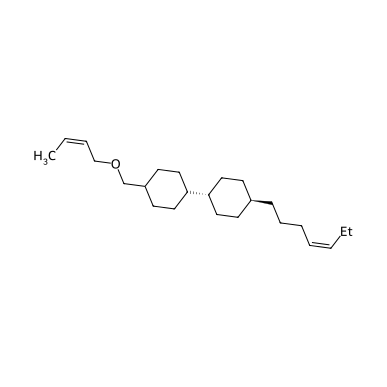 C/C=C\COCC1CCC([C@H]2CC[C@H](CCC/C=C\CC)CC2)CC1